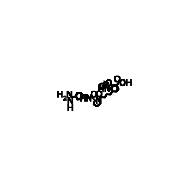 CS(=O)(=O)Nc1cc(C(=O)O)ccc1CCCC(=O)N1CCC[C@H]1C(=O)NCc1ccc(C(=N)N)cc1